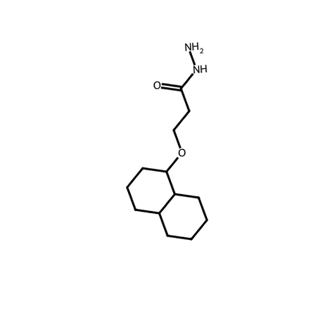 NNC(=O)CCOC1CCCC2CCCCC21